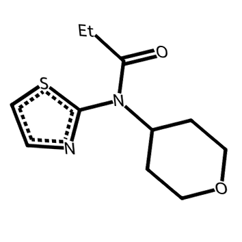 CCC(=O)N(c1nccs1)C1CCOCC1